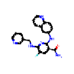 NC(=O)c1cc(F)c(NCc2cccnc2)nc1Nc1ccc2ncccc2c1